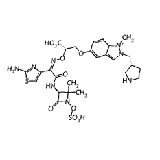 C[n+]1c2ccc(OC[C@H](O/N=C(\C(=O)N[C@@H]3C(=O)N(OS(=O)(=O)O)C3(C)C)c3csc(N)n3)C(=O)O)cc2cn1C[C@@H]1CCNC1